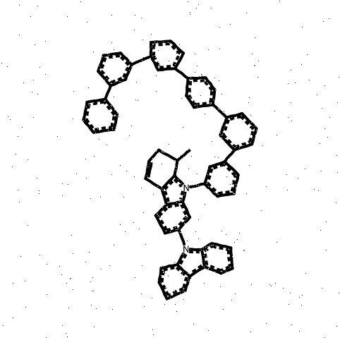 CC1CC=Cc2c1n(-c1cccc(-c3cccc(-c4ccc(-c5cccc(-c6cccc(-c7ccccc7)c6)c5)cc4)c3)c1)c1cc(-n3c4ccccc4c4ccccc43)ccc21